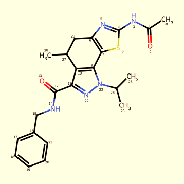 CC(=O)Nc1nc2c(s1)-c1c(c(C(=O)NCc3ccccc3)nn1C(C)C)C(C)C2